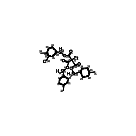 CCC(C(=O)O[SiH2]c1ccc(C)cc1)(C(=O)O[SiH2]c1ccc(C)cc1)C(=O)O[SiH2]c1ccc(C)c(Cl)c1